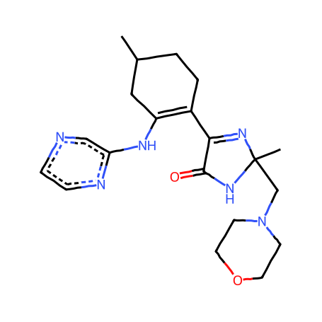 CC1CCC(C2=NC(C)(CN3CCOCC3)NC2=O)=C(Nc2cnccn2)C1